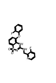 O=S1(=O)N=C(NCc2ncccc2F)Nc2c(Oc3ccccc3F)cccc21